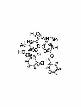 CC(=O)C(NC(=O)[C@H](C)NC(=O)[C@@H](NC(=O)OCc1ccccc1)C(C)C)[C@H](OCc1c(Cl)cccc1Cl)C(=O)O